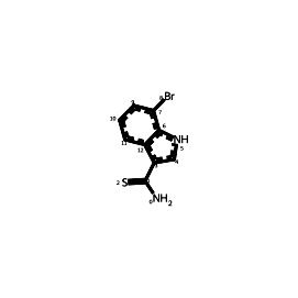 NC(=S)c1c[nH]c2c(Br)cccc12